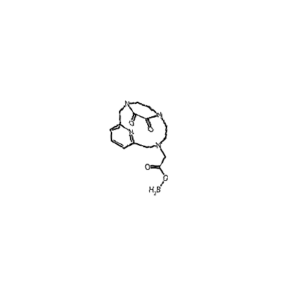 BOC(=O)CN1CCN2CCN(Cc3cccc(n3)C1)C(=O)C2=O